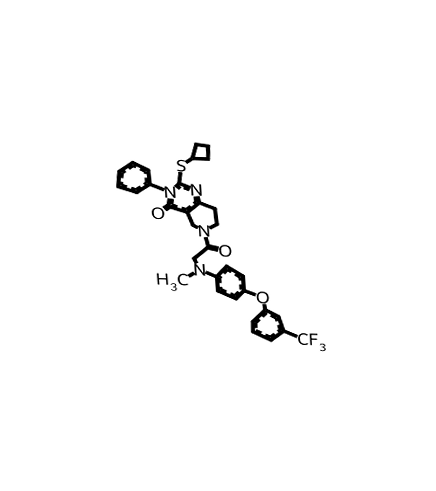 CN(CC(=O)N1CCc2nc(SC3CCC3)n(-c3ccccc3)c(=O)c2C1)c1ccc(Oc2cccc(C(F)(F)F)c2)cc1